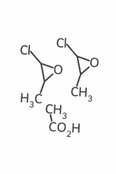 CC(=O)O.CC1OC1Cl.CC1OC1Cl